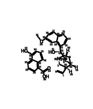 C=C[C@H]1C[N@]2CC[C@H]1C[C@H]2[C@H](O)c1ccnc2ccc(OC)cc12.O=C(O)c1cccc2c(O)cccc12